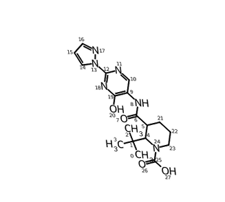 CC(C)(C)C1C(C(=O)Nc2cnc(-n3cccn3)nc2O)CCCN1C(=O)O